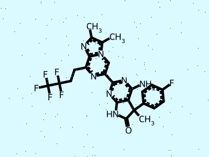 Cc1nc2c(CCC(F)(F)C(F)(F)F)nc(-c3nc(N)c4c(n3)NC(=O)C4(C)c3ccc(F)cc3)cn2c1C